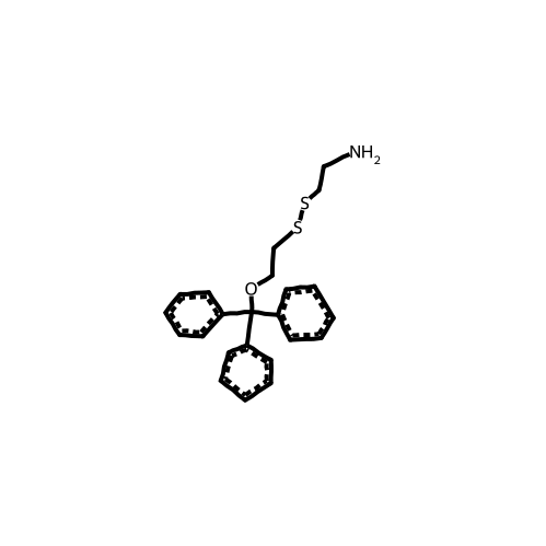 NCCSSCCOC(c1ccccc1)(c1ccccc1)c1ccccc1